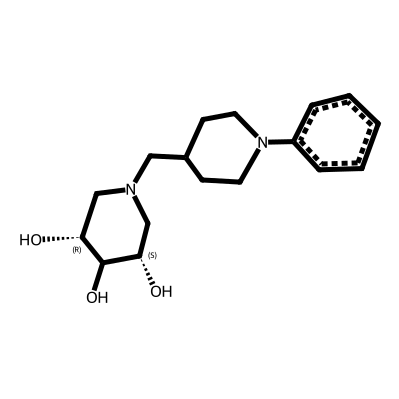 OC1[C@H](O)CN(CC2CCN(c3ccccc3)CC2)C[C@@H]1O